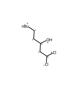 CCCCCCC(O)CC(Cl)Cl